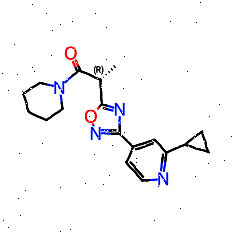 C[C@@H](C(=O)N1CCCCC1)c1nc(-c2ccnc(C3CC3)c2)no1